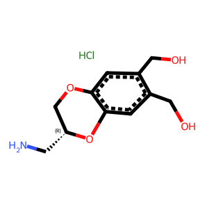 Cl.NC[C@@H]1COc2cc(CO)c(CO)cc2O1